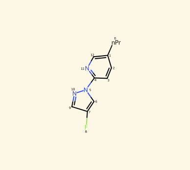 CCCc1ccc(-n2cc(F)cn2)nc1